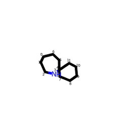 C1CCNC2(CC1)CCCCC2